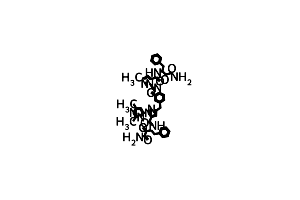 Cc1cc(-n2nc(Cc3ccc4nc(-n5nc(C)cc5C(=O)NC(Cc5ccccc5)C(=O)C(N)=O)oc4c3)cc2C(=O)NC(Cc2ccccc2)C(=O)C(N)=O)nc(C)n1